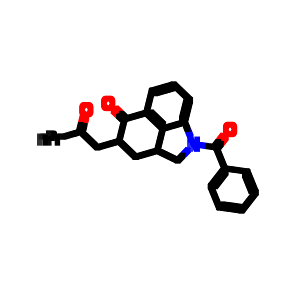 CCCC(=O)CC1CC2CN(C(=O)c3ccccc3)c3cccc(c32)C1=O